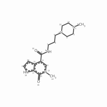 CN1CCN(CCCNC(=O)c2cn(C)c(=O)c3[nH]ccc23)CC1